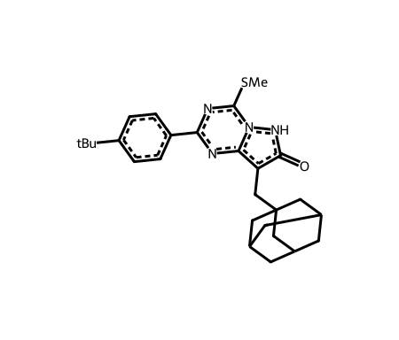 CSc1nc(-c2ccc(C(C)(C)C)cc2)nc2c(CC34CC5CC(CC(C5)C3)C4)c(=O)[nH]n12